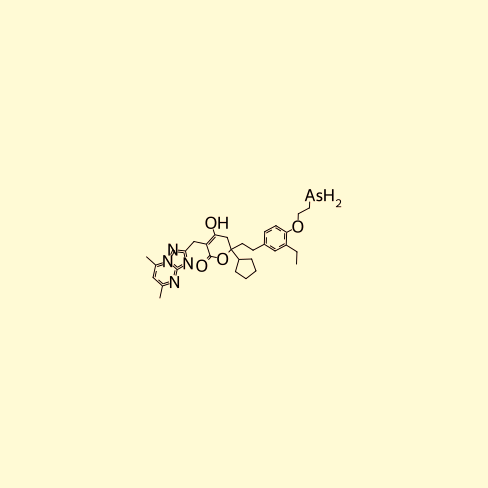 CCc1cc(CCC2(C3CCCC3)CC(O)=C(Cc3nc4nc(C)cc(C)n4n3)C(=O)O2)ccc1OCC[AsH2]